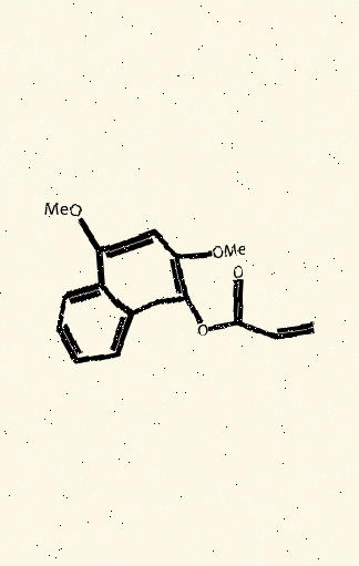 C=CC(=O)Oc1c(OC)cc(OC)c2ccccc12